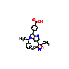 Cc1noc(C)c1-c1cnc2c(-c3ccc(C(=O)O)cc3)cn([C@H](C)c3ccccc3)c2c1